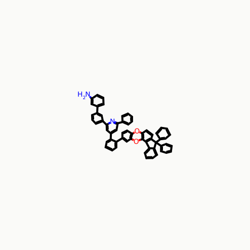 Nc1cccc(-c2cccc(-c3cc(-c4ccccc4-c4ccc5c(c4)Oc4c(ccc6c4-c4ccccc4C6(c4ccccc4)c4ccccc4)O5)cc(-c4ccccc4)n3)c2)c1